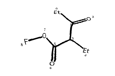 CCC(=O)C(CC)C(=O)OF